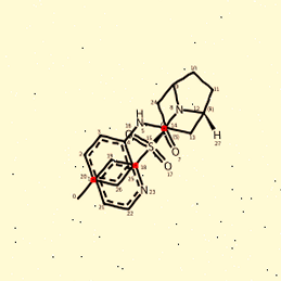 Cc1ccc(NC(=O)N2C3CC[C@@H]2C[C@@H](S(=O)(=O)c2ccccn2)C3)cc1